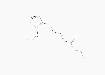 CCOC(=O)/C=C/COc1ccsc1/C=N\O